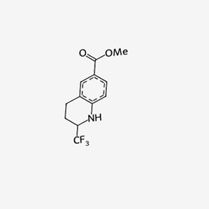 COC(=O)c1ccc2c(c1)CCC(C(F)(F)F)N2